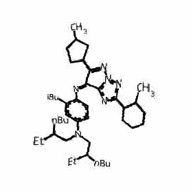 CCCCC(CC)CN(CC(CC)CCCC)c1ccc(/N=C2/C(C3CCC(C)C3)=Nn3nc(C4CCCCC4C)nc32)c(C(C)CC)c1